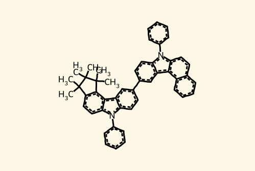 CC1(C)c2ccc3c(c2C(C)(C)C1(C)C)c1cc(-c2ccc4c(c2)c2c5ccccc5ccc2n4-c2ccccc2)ccc1n3-c1ccccc1